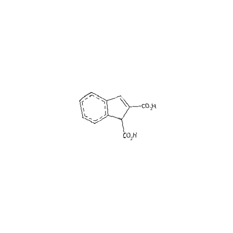 O=C(O)C1=Cc2ccccc2C1C(=O)O